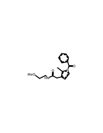 COCCNC(=O)Cc1ccn(C(=O)c2ccccc2)c1C